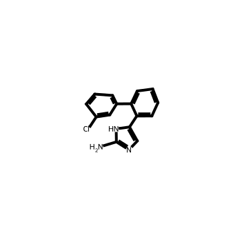 Nc1ncc(-c2ccccc2-c2cccc(Cl)c2)[nH]1